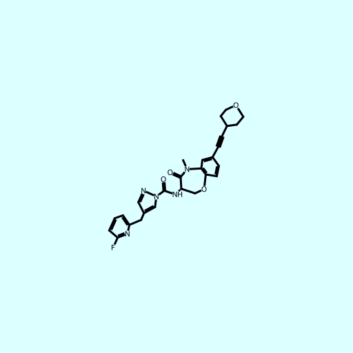 CN1C(=O)[C@H](NC(=O)n2cc(Cc3cccc(F)n3)cn2)COc2ccc(C#CC3CCOCC3)cc21